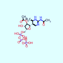 C=C1NC(NC(C)=O)=NC=C1[C@@H]1O[C@H](COP(=O)(O)OP(=O)(O)OP(=O)(O)O)[C@H](O)C1OC(C)=O